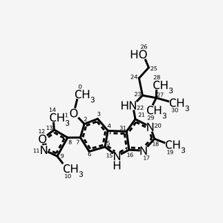 COc1cc2c(cc1-c1c(C)noc1C)[nH]c1nc(C)nc(NC(CCO)C(C)(C)C)c12